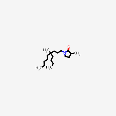 CCCCCC(C)(CCCC)CCCN1CCC(C)C1=O